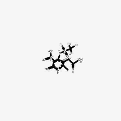 Cc1[nH]c(=O)c([N+](=O)[O-])c(OS(=O)(=O)C(F)(F)F)c1CC(=O)O